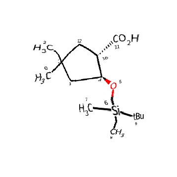 CC1(C)C[C@H](O[Si](C)(C)C(C)(C)C)[C@@H](C(=O)O)C1